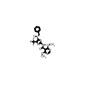 COc1ncnc(OC)c1C(=O)Nc1nc(C(F)(F)F)c([S+]([O-])Cc2ccccc2)s1